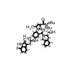 CCCCN(CCCC)C(=O)c1cc(C)n(-c2ccc(NC(=O)Cc3c(C)[nH]c4c(F)cccc34)cc2C(=O)N2Cc3ccccc3C[C@H]2CO)n1